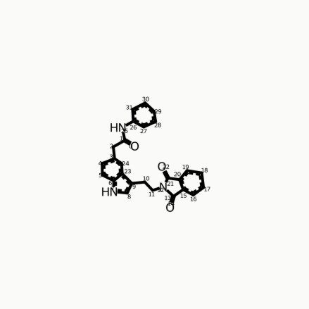 O=C(Cc1ccc2[nH]cc(CCN3C(=O)c4ccccc4C3=O)c2c1)Nc1ccccc1